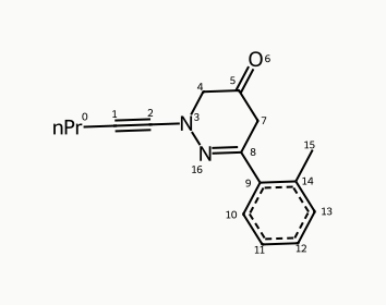 CCCC#CN1CC(=O)CC(c2ccccc2C)=N1